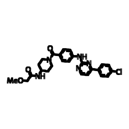 COCC(=O)NC1CCN(C(=O)c2ccc(Nc3nccc(-c4ccc(Cl)cc4)n3)cc2)CC1